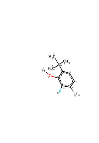 CCOc1c([Si](C)(C)C)ccc(C(F)(F)F)c1F